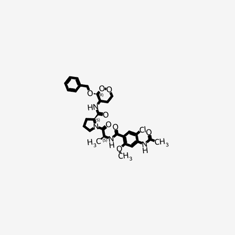 COc1cc(NC(C)=O)c(Cl)cc1C(=O)N[C@@H](C)C(=O)N1CCC[C@H]1C(=O)NC1CCOO[C@H]1OCc1ccccc1